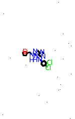 Clc1ccc(Nc2ncnc3cnc(NCC4CCCO4)nc23)cc1Cl